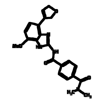 COc1ccc(C2=CCOC2)c2nc(NC(=O)c3ccc(C(=O)N(C)C)cc3)[nH]c12